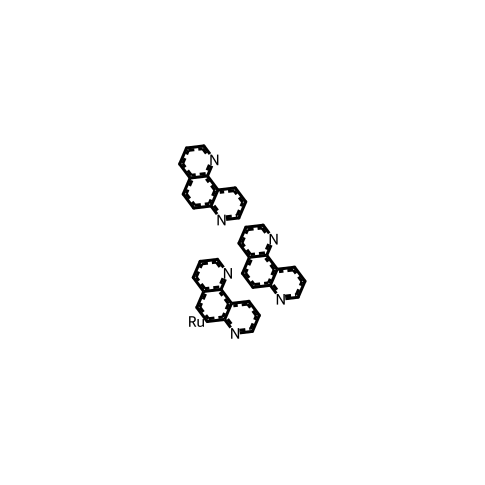 [Ru].c1cnc2c(c1)ccc1ncccc12.c1cnc2c(c1)ccc1ncccc12.c1cnc2c(c1)ccc1ncccc12